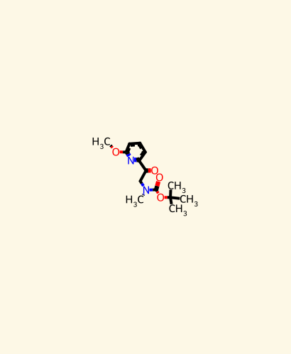 COc1cccc(C(=O)CN(C)C(=O)OC(C)(C)C)n1